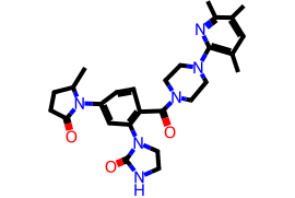 Cc1cc(C)c(N2CCN(C(=O)c3ccc(N4C(=O)CCC4C)cc3N3CCNC3=O)CC2)nc1C